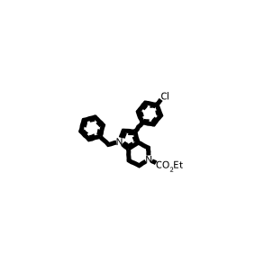 CCOC(=O)N1CCc2c(c(-c3ccc(Cl)cc3)cn2Cc2ccccc2)C1